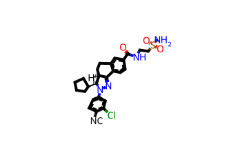 [C-]#[N+]c1ccc(N2N=C3c4ccc(C(=O)NCCS(N)(=O)=O)cc4CC[C@@H]3[C@@H]2C2CCCC2)cc1Cl